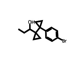 CCC(O)C1(C2(c3ccc(Br)cc3)CC2)CC1